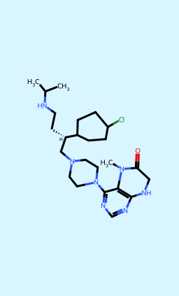 CC(C)NCC[C@@H](CN1CCN(c2ncnc3c2N(C)C(=O)CN3)CC1)C1CCC(Cl)CC1